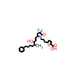 CC(CCCCc1ccccc1)C(O)/C=C/C1CC(F)(F)C(=O)N1CCCc1ccc(C(=O)O)s1